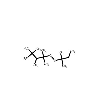 CCC(C)(C)OOC(C)(C)C(C)C(C)(C)C